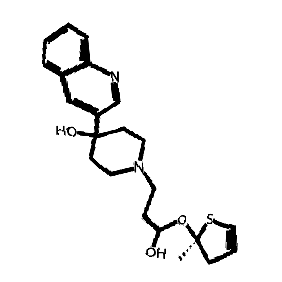 C[C@@]1(OC(O)CCN2CCC(O)(c3cnc4ccccc4c3)CC2)CC=CS1